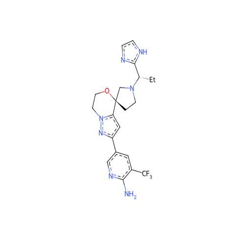 CC[C@@H](c1ncc[nH]1)N1CC[C@]2(C1)OCCn1nc(-c3cnc(N)c(C(F)(F)F)c3)cc12